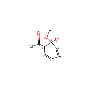 COC1(Br)C=CC=CC1C(=O)Cl